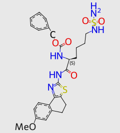 COc1ccc2c(c1)CCc1sc(NC(=O)[C@H](CCCCNS(N)(=O)=O)NC(=O)OCc3ccccc3)nc1-2